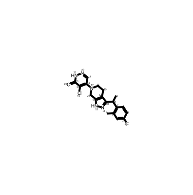 Cc1cc(F)ccc1C(C)c1n[nH]c2c1CCN(c1cn[nH]c(=O)c1Cl)C2